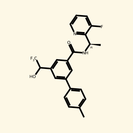 Cc1ccc(-c2cc(C(=O)N[C@H](C)c3ncccc3F)cc(C(O)C(F)(F)F)c2)cc1